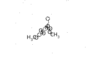 CCOC(=O)C1CC(S(=O)(=O)c2ccc(OC)cc2)CCN1OCCc1ccccc1